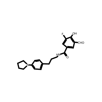 O=Cc1cc(C(=O)NCCCc2ccc(N3CCCC3)cc2)cc(F)c1O